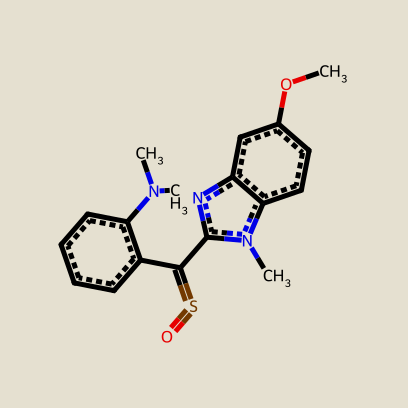 COc1ccc2c(c1)nc(C(=S=O)c1ccccc1N(C)C)n2C